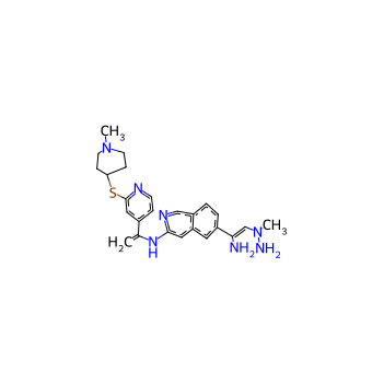 C=C(Nc1cc2cc(/C(N)=C/N(C)N)ccc2cn1)c1ccnc(SC2CCN(C)CC2)c1